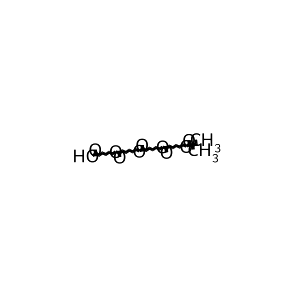 CCC(C)C(=O)OCCCCCC(=O)OCCCCCC(=O)OCCCCCC(=O)OCCCCCC(=O)O